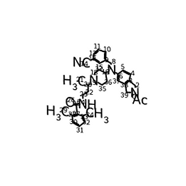 CC(=O)N1Cc2ccc(N(Cc3cccc(C#N)c3)C3CCN(C(C)CCNC(=O)c4c(C)cccc4C)CC3)cc2C1